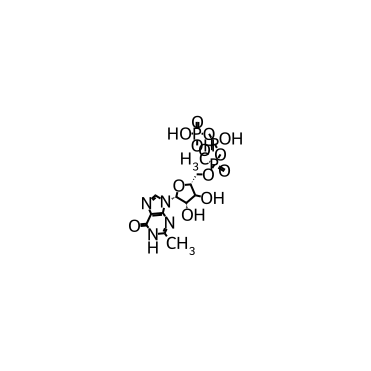 Cc1nc2c(ncn2[C@@H]2O[C@H](COP(C)(=O)OP(=O)(O)OP(=O)(O)O)C(O)[C@@H]2O)c(=O)[nH]1